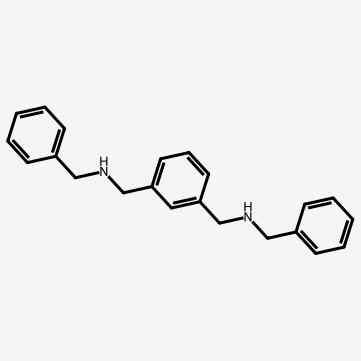 c1ccc(CNCc2cccc(CNCc3ccccc3)c2)cc1